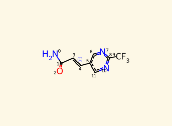 NC(=O)/C=C/c1cnc(C(F)(F)F)nc1